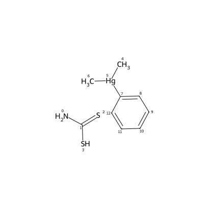 NC(=S)S.[CH3][Hg]([CH3])[c]1ccccc1